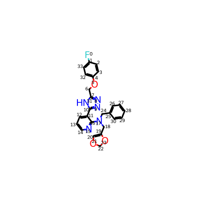 Fc1ccc(OCc2nnc(-c3cccnc3N(CC3=COCO3)Cc3ccccc3)[nH]2)cc1